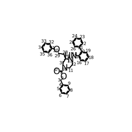 O=C(OCc1ccccc1)N1CCN(Nc2ccccc2-c2ccccc2)C(CCOc2ccccc2)C1